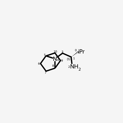 CC(C)[C@H](N)CN1C2CCC1CC2